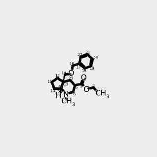 CCOC(=O)C1CN(C)[C@@H]2CCC[C@]2(COCc2ccccc2)C1